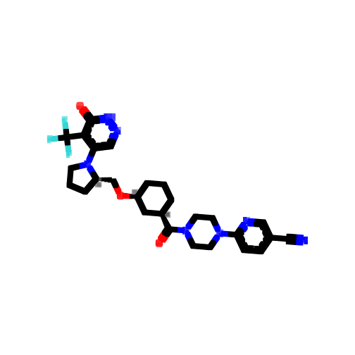 N#Cc1ccc(N2CCN(C(=O)[C@@H]3CCC[C@H](OC[C@@H]4CCCN4c4cn[nH]c(=O)c4C(F)(F)F)C3)CC2)nc1